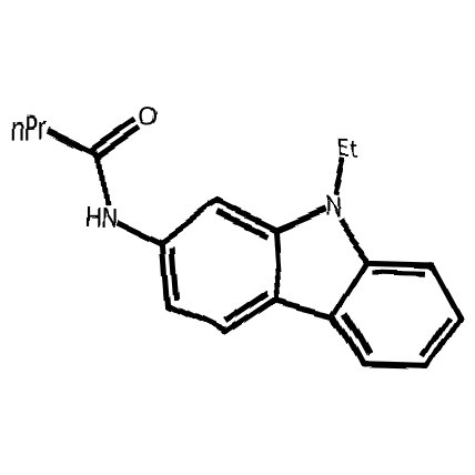 CCCC(=O)Nc1ccc2c3ccccc3n(CC)c2c1